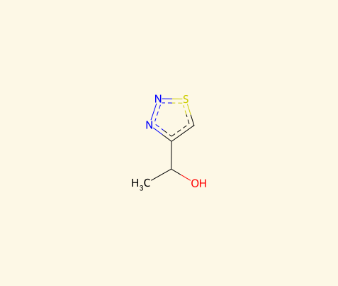 CC(O)c1csnn1